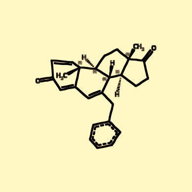 C[C@]12C=CC(=O)C=C1C=C(Cc1ccccc1)[C@@H]1[C@@H]2CC[C@]2(C)C(=O)CC[C@@H]12